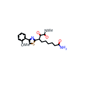 CNC(=O)C(=O)C(CCCCCC(N)=O)c1nc(-c2ccccc2OC)cs1